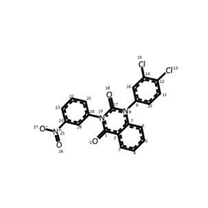 O=c1c2ccccc2n(-c2ccc(Cl)c(Cl)c2)c(=O)n1-c1cccc([N+](=O)[O-])c1